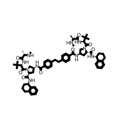 CN[C@@H](C)C(=O)N[C@H](C(=O)N1C[C@H](NC(=O)c2ccc(CCc3ccc(C(=O)N[C@@H]4C[C@@H](C(=O)N[C@@H]5CCCc6ccccc65)N(C(=O)[C@@H](NC(=O)[C@H](C)NC)C(C)(C)C)C4)cc3)cc2)C[C@H]1C(=O)N[C@@H]1CCCc2ccccc21)C(C)(C)C